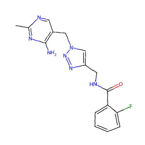 Cc1ncc(Cn2cc(CNC(=O)c3ccccc3F)nn2)c(N)n1